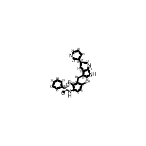 O=S(=O)(Nc1ccc(F)c(Cc2c[nH]c3ncc(-c4cccnc4)cc23)c1F)c1ccccc1